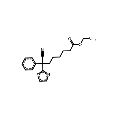 CCOC(=O)CCCCCC(C#N)(c1ccccc1)c1nccs1